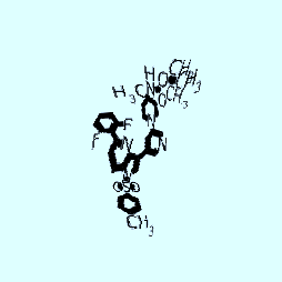 Cc1ccc(S(=O)(=O)n2cc(-c3cncc(N4CCC(C)(NC(=O)OC(C)(C)C)CC4)c3)c3nc(-c4c(F)cccc4F)ccc32)cc1